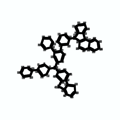 C1=CC(N(c2ccc(-c3cccc(-n4c5ccccc5c5c6ccccc6ccc54)c3)c(-c3ccccc3)c2)c2ccc3c(c2)sc2ccccc23)CC=C1c1ccccc1